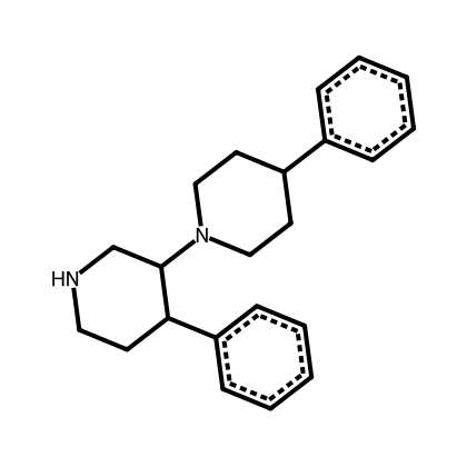 c1ccc(C2CCN(C3CNCCC3c3ccccc3)CC2)cc1